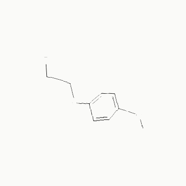 COc1ccc(OCCF)cc1